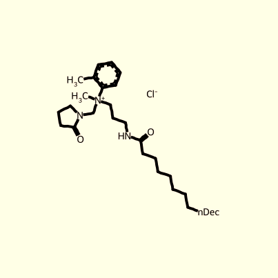 CCCCCCCCCCCCCCCCCC(=O)NCCC[N+](C)(CN1CCCC1=O)c1ccccc1C.[Cl-]